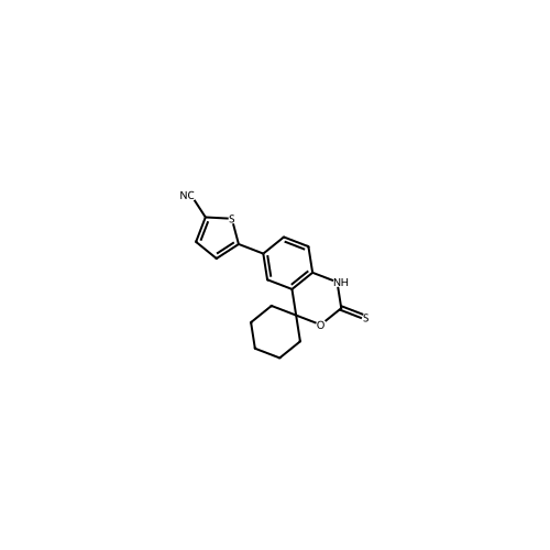 N#Cc1ccc(-c2ccc3c(c2)C2(CCCCC2)OC(=S)N3)s1